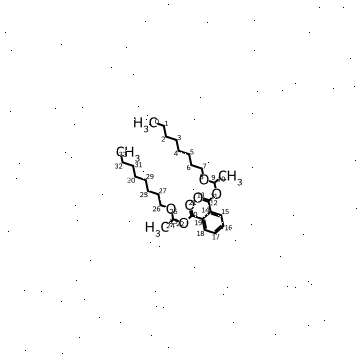 CCCCCCCCOC(C)OC(=O)c1ccccc1C(=O)OC(C)OCCCCCCCC